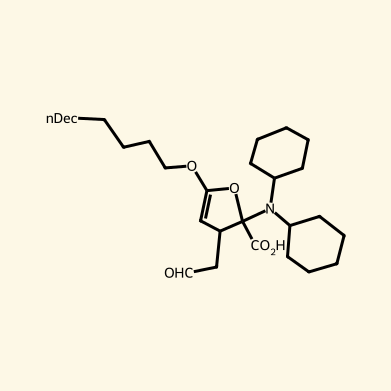 CCCCCCCCCCCCCCOC1=CC(CC=O)C(C(=O)O)(N(C2CCCCC2)C2CCCCC2)O1